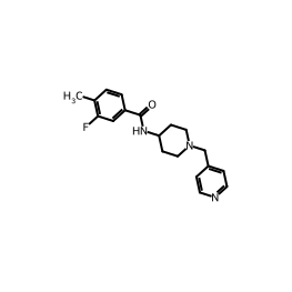 Cc1ccc(C(=O)NC2CCN(Cc3ccncc3)CC2)cc1F